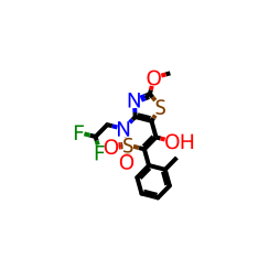 COc1nc2c(s1)C(O)=C(c1ccccc1C)S(=O)(=O)N2CC(F)F